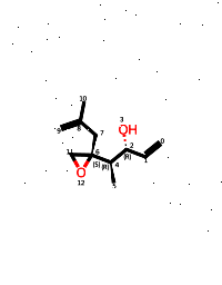 C=C[C@@H](O)[C@@H](C)[C@@]1(CC(=C)C)CO1